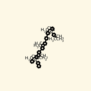 CC(C)(C)c1ccc(N2c3ccccc3C(C)(C)c3ccc(-c4ccc(-c5ccc6c(c5)C(C)(C)c5cc(-c7ccc8c(c7)C(C)(C)c7cc9c(cc7-8)C(C)(C)c7ccccc7N9c7ccc8ccccc8c7)ccc5-6)cc4)cc32)cc1